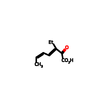 C/C=C\C=C(/CC)C(=O)C(=O)O